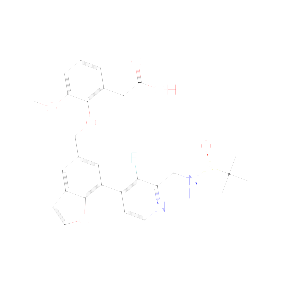 COc1cccc(CC(=O)O)c1OCc1cc(-c2ccnc(CN[S@@+]([O-])C(C)(C)C)c2F)c2occc2c1